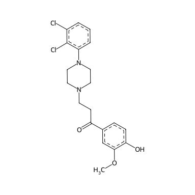 COc1cc(C(=O)CCN2CCN(c3cccc(Cl)c3Cl)CC2)ccc1O